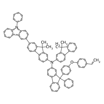 C=Cc1ccc(Oc2ccc(C3(c4ccccc4)c4ccccc4-c4ccc(N(c5ccc6c(c5)C(C)(C)c5ccccc5-6)c5ccc6c(c5)C(C)(C)c5cc(-c7ccc8c(c7)c7ccccc7n8-c7ccccc7)ccc5-6)cc43)cc2)cc1